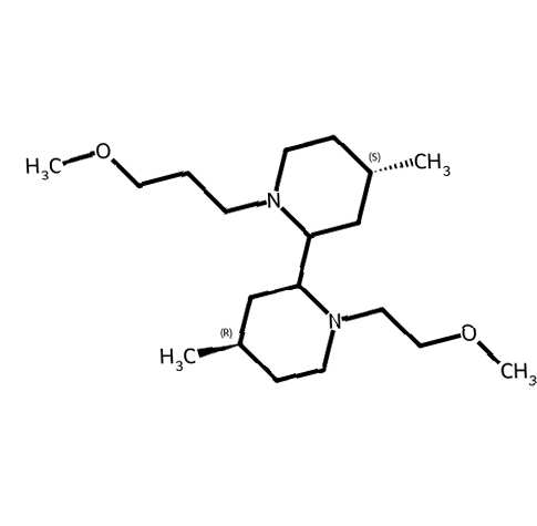 COCCCN1CC[C@H](C)CC1C1C[C@H](C)CCN1CCOC